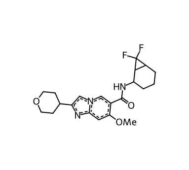 COc1cc2nc(C3CCOCC3)cn2cc1C(=O)NC1CCCC2C1C2(F)F